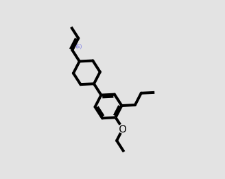 C/C=C/C1CCC(c2ccc(OCC)c(CCC)c2)CC1